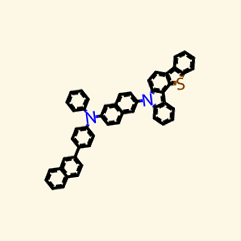 c1ccc(N(c2ccc(-c3ccc4ccccc4c3)cc2)c2ccc3cc(-n4c5ccccc5c5c6sc7ccccc7c6ccc54)ccc3c2)cc1